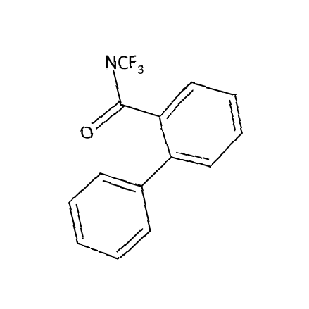 O=C(NC(F)(F)F)c1ccccc1-c1ccccc1